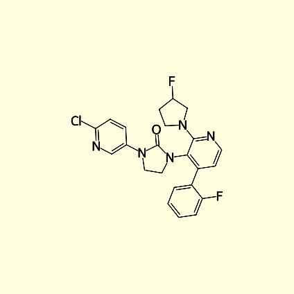 O=C1N(c2ccc(Cl)nc2)CCN1c1c(-c2ccccc2F)ccnc1N1CCC(F)C1